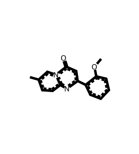 COc1ccccc1-c1cc(=O)n2cc(C)ccc2n1